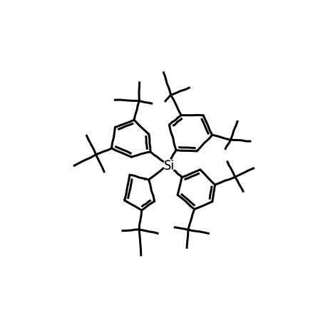 CC(C)(C)C1=C[C]([Si](c2cc(C(C)(C)C)cc(C(C)(C)C)c2)(c2cc(C(C)(C)C)cc(C(C)(C)C)c2)c2cc(C(C)(C)C)cc(C(C)(C)C)c2)C=C1